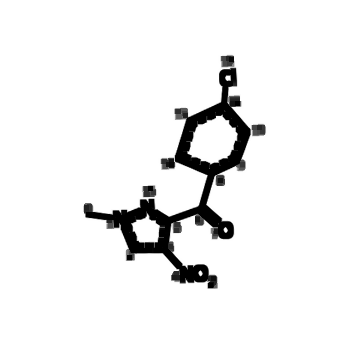 Cn1cc([N+](=O)[O-])c(C(=O)c2ccc(Cl)cc2)n1